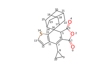 O=C1OC(=O)C2C1=C(C1CC1)c1ccsc1C21C2CC3CC(C2)CC1C3